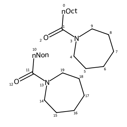 CCCCCCCCC(=O)N1CCCCCC1.CCCCCCCCCC(=O)N1CCCCCC1